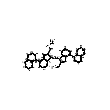 CC(C)CC1=Cc2c(-c3cccc4ccccc34)cccc2[CH]1[Zr+2][CH]1C(CC(C)C)=Cc2c(-c3cccc4ccccc34)cccc21.[Cl-].[Cl-]